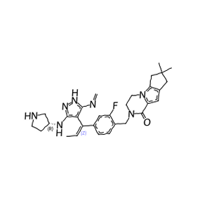 C=Nc1[nH]nc(N[C@@H]2CCNC2)c1/C(=C\C)c1ccc(CN2CCn3c(cc4c3CC(C)(C)C4)C2=O)c(F)c1